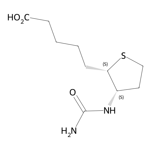 NC(=O)N[C@H]1CCS[C@H]1CCCCC(=O)O